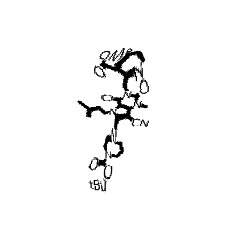 COC(=O)c1cccnc1Cn1c(=O)c2c(c(C#N)c(N3CCCN(C(=O)OC(C)(C)C)CC3)n2CC=C(C)C)n(C)c1=O